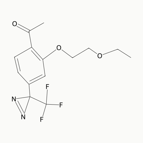 CCOCCOc1cc(C2(C(F)(F)F)N=N2)ccc1C(C)=O